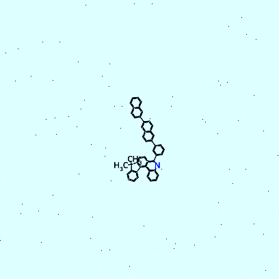 CC1(C)c2ccccc2-c2c1ccc1c(-c3cccc(-c4ccc5cc(-c6ccc7ccccc7c6)ccc5c4)c3)nc3ccccc3c21